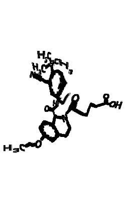 CCOc1ccc2c(c1)CCN(C(=O)CCCC(=O)O)[C@H]2C(=O)Nc1ccc([Si](C)(C)C)c(C#N)c1